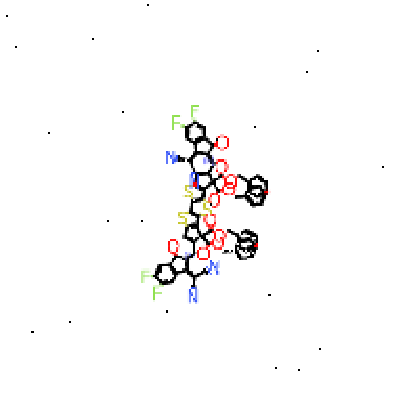 N#CC(C#N)=C1/C(=C/C2=Cc3sc4c(sc5c6c(sc54)C=C(/C=C4/C(=O)c5cc(F)c(F)cc5C4=C(C#N)C#N)C6(C(=O)OCc4ccccc4)C(=O)OCc4ccccc4)c3C2(C(=O)OCc2ccccc2)C(=O)OCc2ccccc2)C(=O)c2cc(F)c(F)cc21